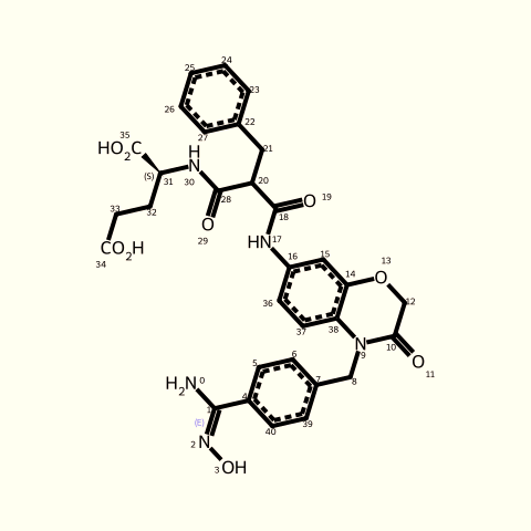 N/C(=N/O)c1ccc(CN2C(=O)COc3cc(NC(=O)C(Cc4ccccc4)C(=O)N[C@@H](CCC(=O)O)C(=O)O)ccc32)cc1